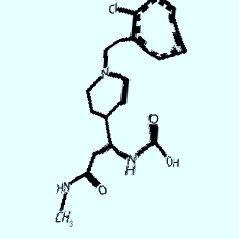 CNC(=O)CC(NC(=O)O)C1CCN(Cc2ccccc2Cl)CC1